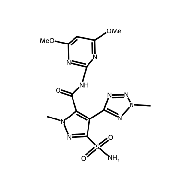 COc1cc(OC)nc(NC(=O)c2c(-c3nnn(C)n3)c(S(N)(=O)=O)nn2C)n1